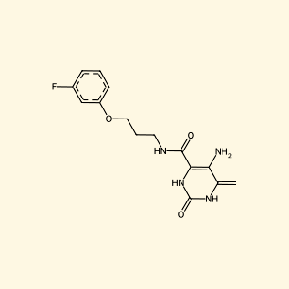 C=C1NC(=O)NC(C(=O)NCCCOc2cccc(F)c2)=C1N